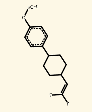 CCCCCCCCOc1ccc(C2CCC(C=C(F)F)CC2)cc1